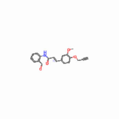 C#CCOc1ccc(/C=C/C(=O)Nc2ccccc2C=O)cc1OC